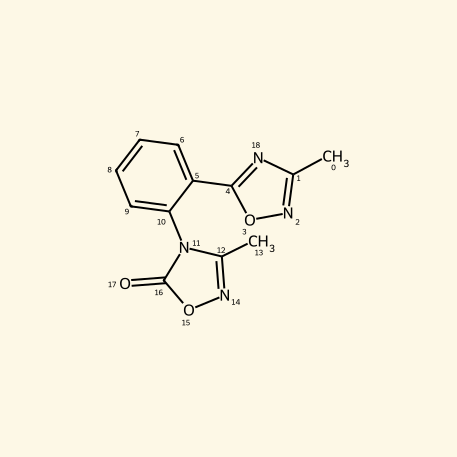 Cc1noc(-c2ccccc2-n2c(C)noc2=O)n1